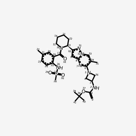 C=C(NC1CN(c2nc3cc([C@@H]4CCCCN4C(=O)c4cc(C)ccc4NS(C)(=O)=O)nn3cc2C)C1)OC(C)(C)C